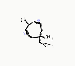 CCC1(C)C/C=C\C(Cl)/C=C\C1